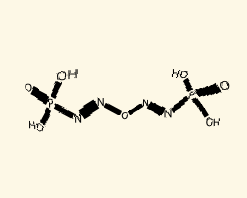 O=P(O)(O)N=NON=NP(=O)(O)O